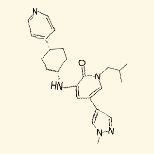 CC(C)Cn1cc(-c2cnn(C)c2)cc(N[C@H]2CC[C@@H](c3ccncc3)CC2)c1=O